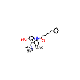 C=CC[N@@+]1(CC(C)C)CC[C@]2(c3cccc(O)c3)C[C@@H](NC(=O)CCCCCc3ccccc3)CCC2(OC(C)=O)C1